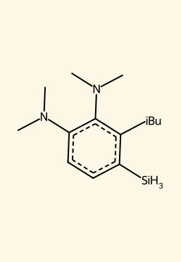 CCC(C)c1c([SiH3])ccc(N(C)C)c1N(C)C